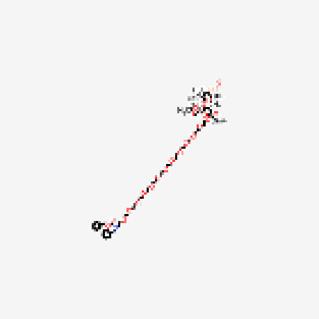 CC[C@H](C)C1O[C@H](O[C@H]2C([C@H]3COC(C)(C)O3)O[C@@](OCCOCCOCCOCCOCCOCCOCCOCCOCCOCCOCCOCCOCCN(Cc3ccccc3)C(=O)OCc3ccccc3)(C(=O)OC)C[C@H]2C)C(OC(C)=O)[C@@H](C)[C@@H]1PBB=O